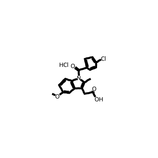 COc1ccc2c(c1)c(CC(=O)O)c(C)n2C(=O)c1ccc(Cl)cc1.Cl